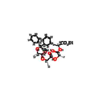 CCOC(=O)[C@H](C)OC(=O)[C@H](C)OC(=O)[C@H](C)OC(=O)[C@H](C)O[Si](c1ccccc1)(c1ccccc1)C(C)(C)C